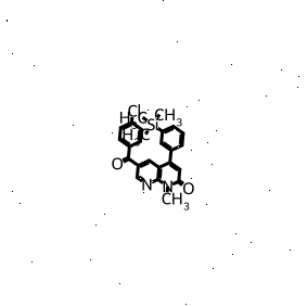 Cn1c(=O)cc(-c2cccc([Si](C)(C)C)c2)c2cc(C(=O)c3ccc(Cl)cc3)cnc21